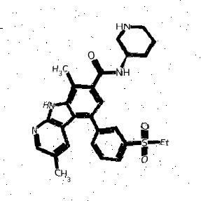 CCS(=O)(=O)c1cccc(-c2cc(C(=O)N[C@@H]3CCCNC3)c(C)c3[nH]c4ncc(C)cc4c23)c1